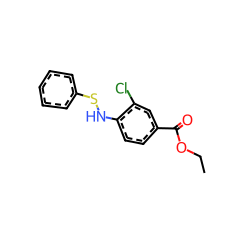 CCOC(=O)c1ccc(NSc2ccccc2)c(Cl)c1